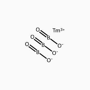 O=B[O-].O=B[O-].O=B[O-].[Tm+3]